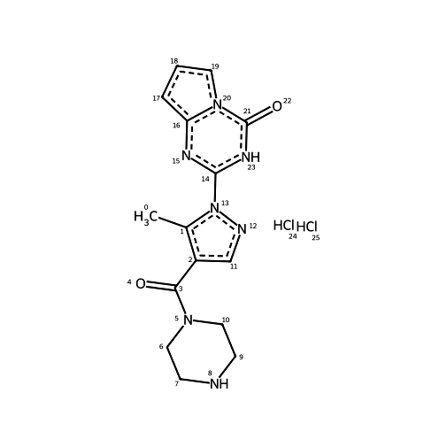 Cc1c(C(=O)N2CCNCC2)cnn1-c1nc2cccn2c(=O)[nH]1.Cl.Cl